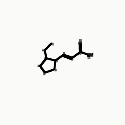 CCC1CCCC1C=CC(=O)O